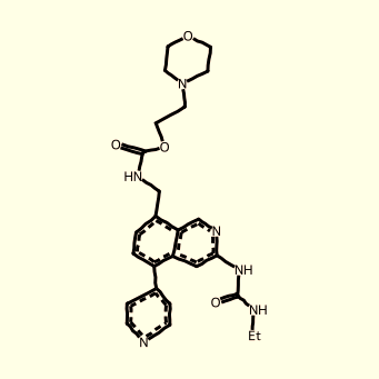 CCNC(=O)Nc1cc2c(-c3ccncc3)ccc(CNC(=O)OCCN3CCOCC3)c2cn1